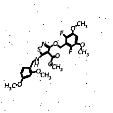 COC(=O)c1c(OCc2c(F)c(OC)cc(OC)c2F)nsc1NCc1ccc(OC)cc1OC